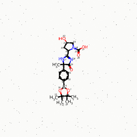 CC1(c2ccc(B3OC(C)(C)C(C)(C)O3)cc2)NC(C2C[C@@H](O)CN2C(=O)O)=NC1=O